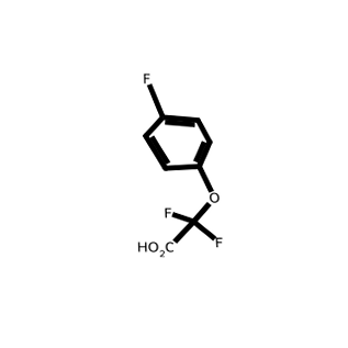 O=C(O)C(F)(F)Oc1ccc(F)cc1